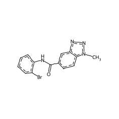 Cn1nnc2cc(C(=O)Nc3ccccc3Br)ccc21